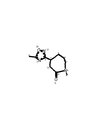 Cc1nc(C2CCCN(C)C(=O)C2)no1